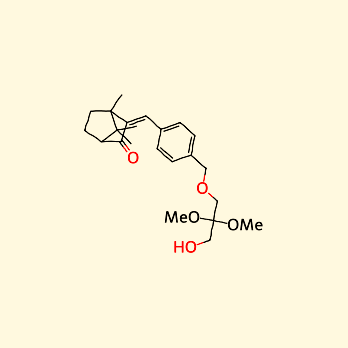 COC(CO)(COCc1ccc(/C=C2\C(=O)C3CCC2(C)C3(C)C)cc1)OC